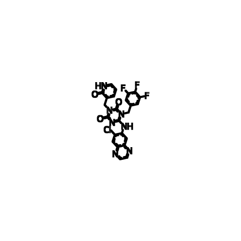 O=c1[nH]cccc1Cn1c(=O)nc(Nc2cc3nccnc3cc2Cl)n(Cc2cc(F)c(F)c(F)c2)c1=O